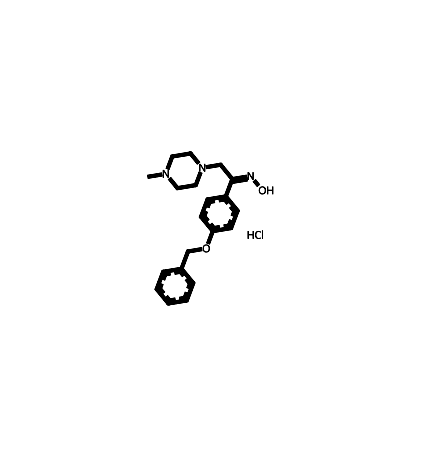 CN1CCN(C/C(=N/O)c2ccc(OCc3ccccc3)cc2)CC1.Cl